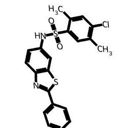 Cc1cc(S(=O)(=O)Nc2ccc3nc(-c4ccccc4)sc3c2)c(C)cc1Cl